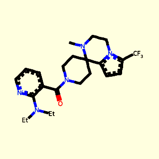 CCN(CC)c1ncccc1C(=O)N1CCC2(CC1)c1ccc(C(F)(F)F)n1CCN2C